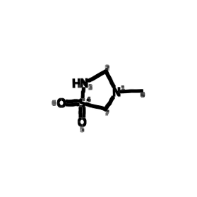 CN1CNS(=O)(=O)C1